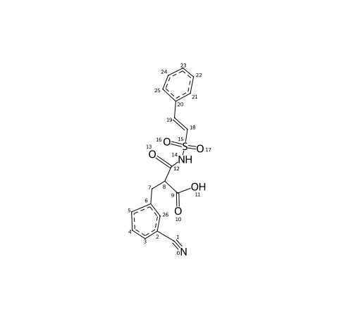 N#Cc1cccc(CC(C(=O)O)C(=O)NS(=O)(=O)C=Cc2ccccc2)c1